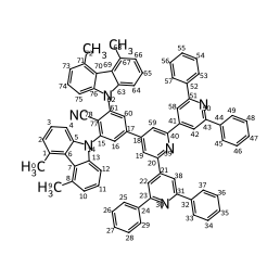 Cc1cccc2c1c1c(C)cccc1n2-c1cc(-c2cc(-c3cc(-c4ccccc4)nc(-c4ccccc4)c3)nc(-c3cc(-c4ccccc4)nc(-c4ccccc4)c3)c2)cc(-n2c3cccc(C)c3c3c(C)cccc32)c1C#N